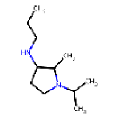 CCCNC1CCN(C(C)C)C1C